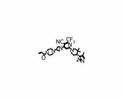 C=CC(=O)N1CCN(C2CN(c3cc(N4CC[C@H](c5c(C)cnn5C)C(C)(C)C4)nc(C(F)(F)F)c3C#N)C2)CC1